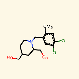 COc1cc(Cl)c(Cl)cc1CN1CCC(CO)CC1CO